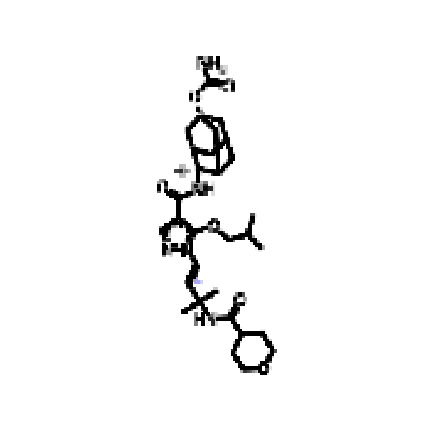 CC(C)COc1c(C(=O)N[C@H]2C3CC4CC2C[C@](OC(N)=O)(C4)C3)cnn1/C=C/C(C)(C)NC(=O)C1CCOCC1